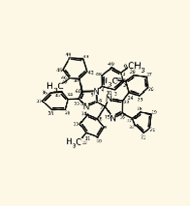 Cc1ccc(-n2c(C3(c4ccc(C)cc4)N=C(c4ccccc4)C(c4ccccc4C)=N3)nc(-c3ccccc3)c2-c2ccccc2C)cc1